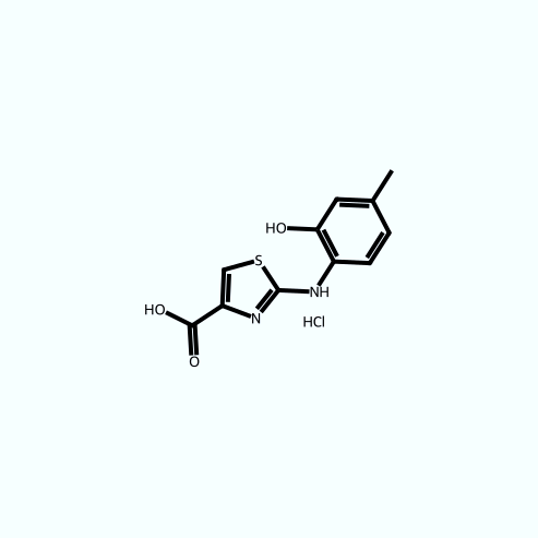 Cc1ccc(Nc2nc(C(=O)O)cs2)c(O)c1.Cl